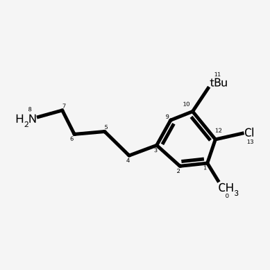 Cc1cc(CCCCN)cc(C(C)(C)C)c1Cl